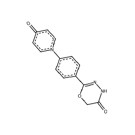 O=C1COC(c2ccc(-n3ccc(=O)cc3)cc2)=NN1